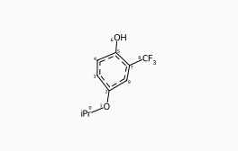 CC(C)Oc1ccc(O)c(C(F)(F)F)c1